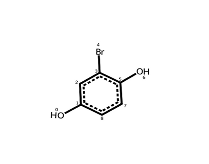 Oc1[c]c(Br)c(O)cc1